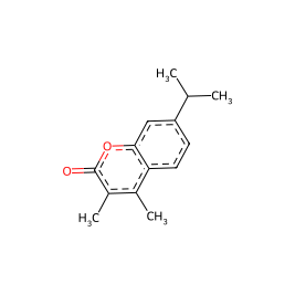 Cc1c(C)c2ccc(C(C)C)cc2oc1=O